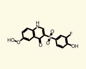 O=c1c(S(=O)(=O)c2ccc(O)c(F)c2)c[nH]c2ccc(OO)cc12